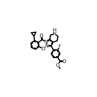 COC(=O)c1ccc(-c2nn(C(=O)c3c(Cl)cccc3C3CC3)c3c2CCNC3)c(F)c1